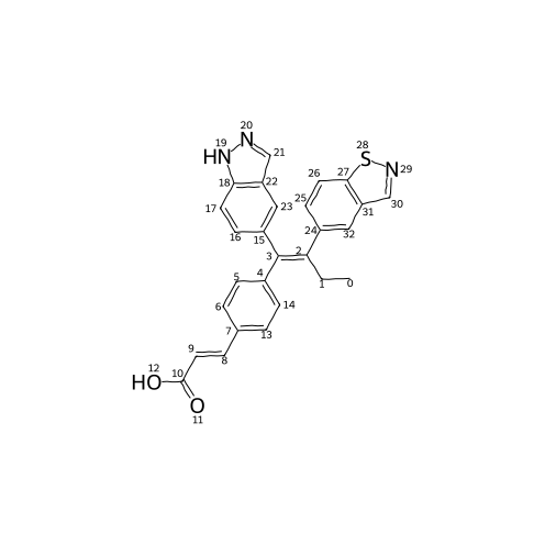 CCC(=C(c1ccc(C=CC(=O)O)cc1)c1ccc2[nH]ncc2c1)c1ccc2sncc2c1